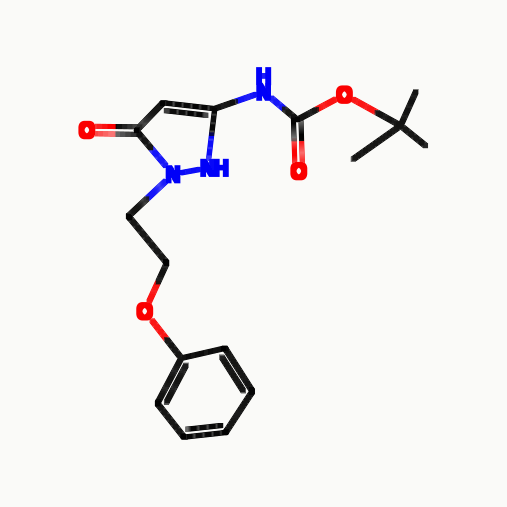 CC(C)(C)OC(=O)Nc1cc(=O)n(CCOc2ccccc2)[nH]1